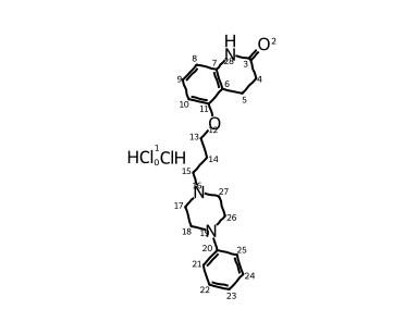 Cl.Cl.O=C1CCc2c(cccc2OCCCN2CCN(c3ccccc3)CC2)N1